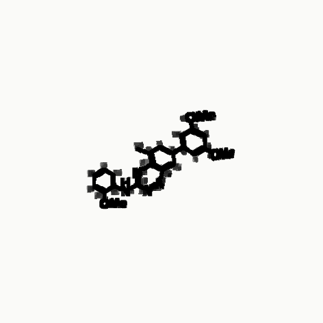 COc1cc(OC)cc(-c2cc(C)c3nc(Nc4ccccc4OC)nnc3c2)c1